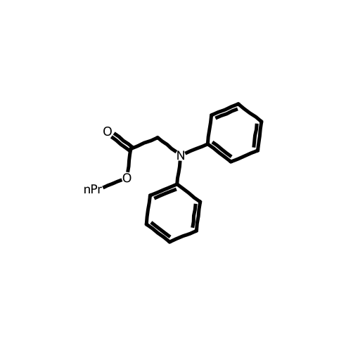 CCCOC(=O)CN(c1ccccc1)c1ccccc1